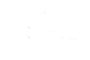 CCn1cc(CC(=O)O)c(O)n1